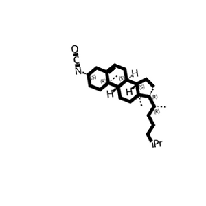 CC(C)CCC[C@@H](C)[C@H]1CC[C@H]2[C@@H]3CC=C4C[C@@H](N=C=O)CC[C@]4(C)[C@H]3CC[C@]12C